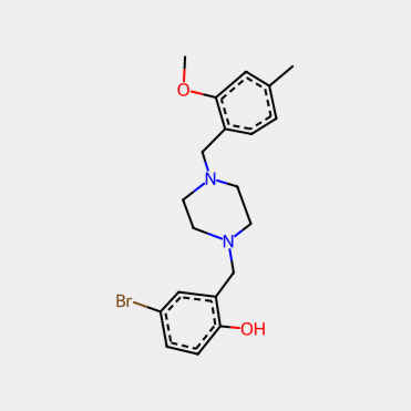 COc1cc(C)ccc1CN1CCN(Cc2cc(Br)ccc2O)CC1